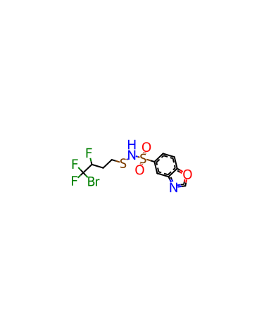 O=S(=O)(NSCCC(F)C(F)(F)Br)c1ccc2ocnc2c1